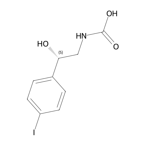 O=C(O)NC[C@@H](O)c1ccc(I)cc1